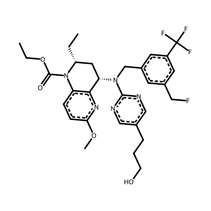 CCOC(=O)N1c2ccc(OC)nc2[C@@H](N(Cc2cc(CF)cc(C(F)(F)F)c2)c2ncc(CCCO)cn2)C[C@H]1CC